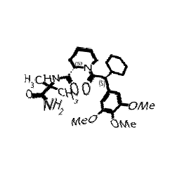 COc1cc([C@@H](C(=O)N2CCCC[C@H]2C(=O)NC(C)(C)C(N)=O)C2CCCCC2)cc(OC)c1OC